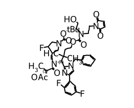 CC(=O)O[C@@H](C)C(=O)N(CC1CN(C(=O)OC(C)(C)C)CC1F)[C@@H](c1nc(-c2cc(F)ccc2F)cn1Cc1ccccc1)C(C)(C)CCOC(=O)N(CCO)CCN1C(=O)C=CC1=O